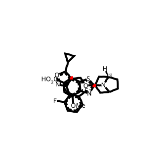 COc1cc(C(=O)O)cc2sc(N3C4CC[C@H]3CC(OCc3c(-c5c(F)cccc5F)noc3C3CC3)C4)nc12